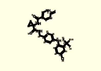 C=C/N=C\C(=C/N)C(=O)NC1(C(=O)NCc2ccc(Nc3ccc(Cl)cc3C(F)(F)F)cn2)CC1